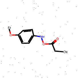 CCOc1ccc(NOC(=O)CC#N)cc1